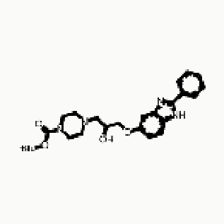 CC(C)(C)OC(=O)N1CCN(CC(O)COc2ccc3[nH]c(-c4ccccc4)nc3c2)CC1